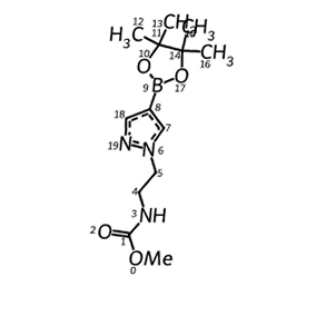 COC(=O)NCCn1cc(B2OC(C)(C)C(C)(C)O2)cn1